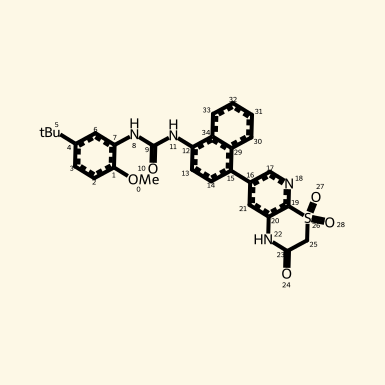 COc1ccc(C(C)(C)C)cc1NC(=O)Nc1ccc(-c2cnc3c(c2)NC(=O)CS3(=O)=O)c2ccccc12